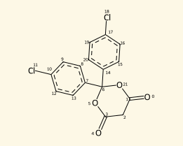 O=C1CC(=O)OC(c2ccc(Cl)cc2)(c2ccc(Cl)cc2)O1